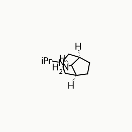 CC(C)N1C[C@H]2CC[C@@H](C1)[C@H]2N